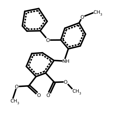 COC(=O)c1cccc(Nc2ccc(OC)cc2Oc2ccccc2)c1C(=O)OC